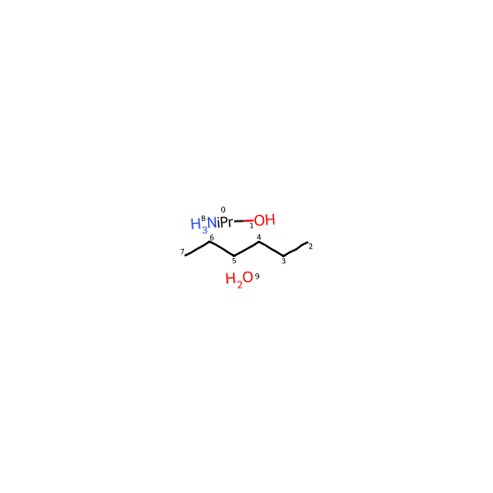 CC(C)O.CCCCCC.N.O